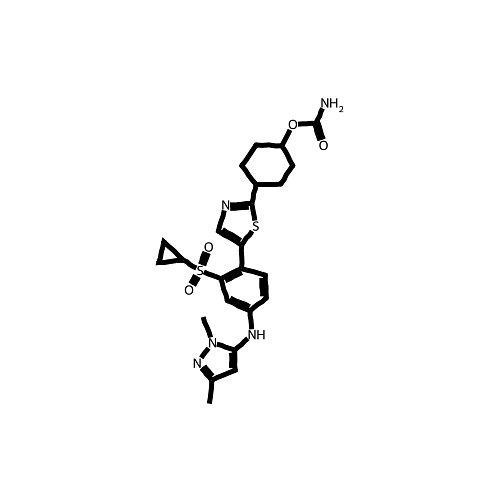 Cc1cc(Nc2ccc(-c3cnc(C4CCC(OC(N)=O)CC4)s3)c(S(=O)(=O)C3CC3)c2)n(C)n1